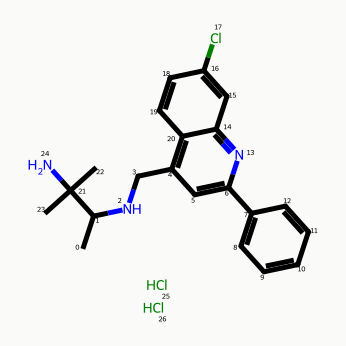 CC(NCc1cc(-c2ccccc2)nc2cc(Cl)ccc12)C(C)(C)N.Cl.Cl